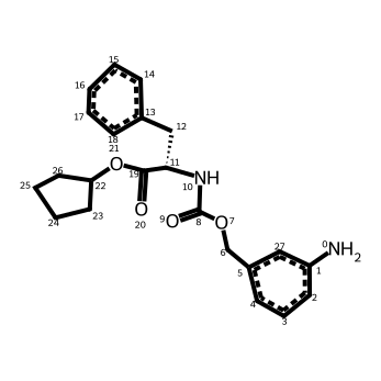 Nc1cccc(COC(=O)N[C@@H](Cc2ccccc2)C(=O)OC2CCCC2)c1